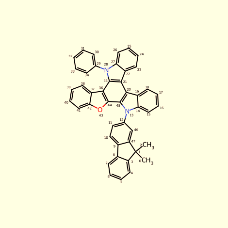 CC1(C)c2ccccc2-c2ccc(-n3c4ccccc4c4c5c6ccccc6n(-c6ccccc6)c5c5c6ccccc6oc5c43)cc21